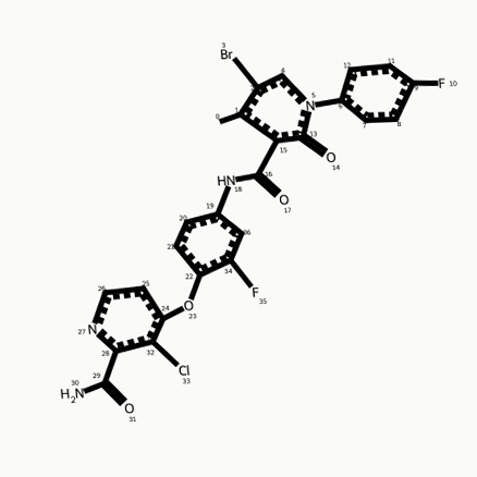 Cc1c(Br)cn(-c2ccc(F)cc2)c(=O)c1C(=O)Nc1ccc(Oc2ccnc(C(N)=O)c2Cl)c(F)c1